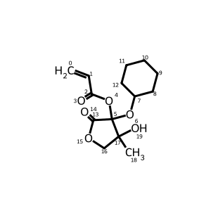 C=CC(=O)OC1(OC2CCCCC2)C(=O)OCC1(C)O